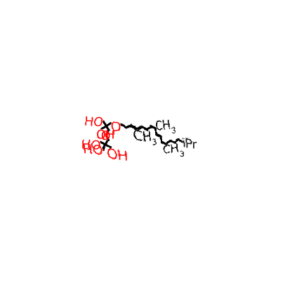 C/C(=C\CCOCC(CO)(CO)COCC(CO)(CO)CO)CCCC(C)CCCC(C)CCCC(C)C